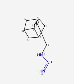 N=NNCC1=C2C3CC(C1)CC2C3